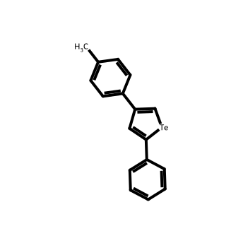 Cc1ccc(-c2c[te]c(-c3ccccc3)c2)cc1